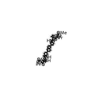 COC(=O)NC(C(=O)C1CNC(c2nc3ccc(-c4ccc5cc(-c6ccc7nc(C8CCCN8C(=O)C(NC(=O)OC)C(C)C)[nH]c7c6)ccc5c4)cc3[nH]2)C1)C(C)C